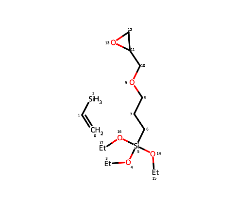 C=C[SiH3].CCO[Si](CCCOCC1CO1)(OCC)OCC